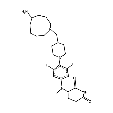 CN(c1cc(F)c(N2CCC(CN3CCCCC(N)CCC3)CC2)c(F)c1)C1CCC(=O)NC1=O